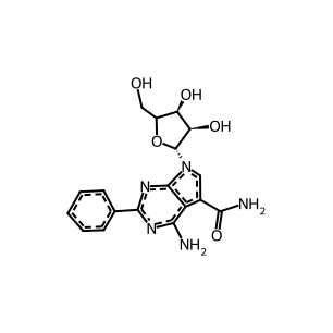 NC(=O)c1cn([C@@H]2OC(CO)[C@@H](O)[C@H]2O)c2nc(-c3ccccc3)nc(N)c12